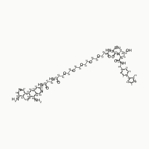 Cc1ncsc1-c1ccc(CNC(=O)[C@@H]2C[C@@H](O)CN2C(=O)[C@@H](NC(=O)CCOCCOCCOCCOCCOCCC(=O)NCCC(=O)Nc2cc3cc(-c4cncc(N)c4C)c(F)c(N)c3cn2)C(C)(C)C)cc1